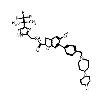 CC(C)(c1n[nH]c(CNC(=O)C2Cc3cc(Cl)c(-c4ccc(CN5CCC(N6CCNCC6)CC5)cc4)cc3O2)n1)C(F)(F)F